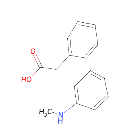 CNc1ccccc1.O=C(O)Cc1ccccc1